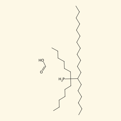 CCCCCCCCCCCCC(CCCCCC)C(P)(CCCCCC)CCCCCC.O=CO